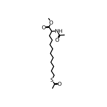 COC(=O)C(CCCCCCCCCCSC(C)=O)NC(C)=O